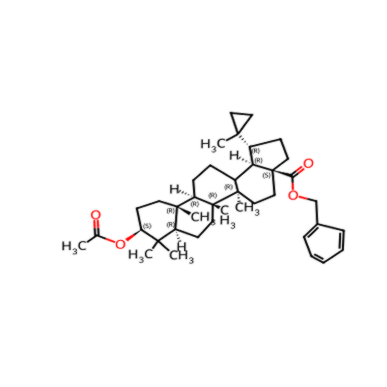 CC(=O)O[C@H]1CC[C@]2(C)[C@H]3CCC4[C@H]5[C@H](C6(C)CC6)CC[C@]5(C(=O)OCc5ccccc5)CC[C@@]4(C)[C@]3(C)CC[C@H]2C1(C)C